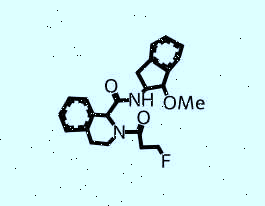 COC1c2ccccc2CC1NC(=O)C1c2ccccc2CCN1C(=O)CCF